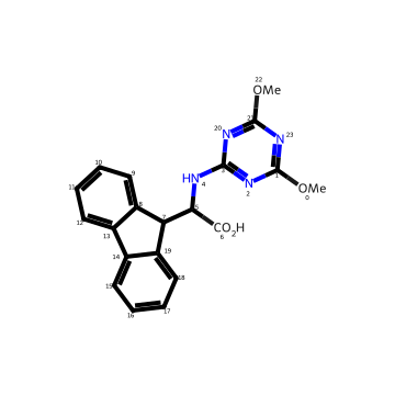 COc1nc(NC(C(=O)O)C2c3ccccc3-c3ccccc32)nc(OC)n1